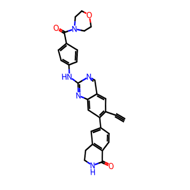 C#Cc1cc2cnc(Nc3ccc(C(=O)N4CCOCC4)cc3)nc2cc1-c1ccc2c(c1)CCNC2=O